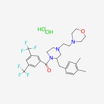 Cc1ccc(CC2CN(CCN3CCOCC3)CCN2C(=O)c2cc(C(F)(F)F)cc(C(F)(F)F)c2)cc1C.Cl.Cl